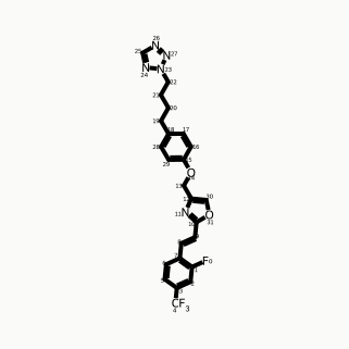 Fc1cc(C(F)(F)F)ccc1/C=C/c1nc(COc2ccc(CCCCn3ncnn3)cc2)co1